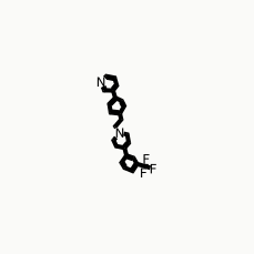 FC(F)(F)c1cccc(C2=CCN(CCc3ccc(-c4cccnc4)cc3)CC2)c1